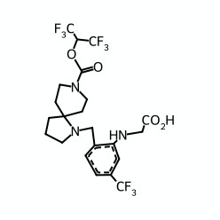 O=C(O)CNc1cc(C(F)(F)F)ccc1CN1CCCC12CCN(C(=O)OC(C(F)(F)F)C(F)(F)F)CC2